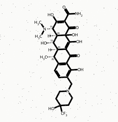 C[C@H]1c2ccc(CN3CCC(O)(C(F)(F)F)CC3)c(O)c2C(=O)C2=C(O)C3(O)C(=O)C(C(N)=O)=C(O)[C@@H](N(C)C)[C@@H]3[C@@H](O)[C@@H]21